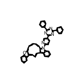 C1=C\C=c2\oc3ccccc3\c2=C/C=C/c2c(n(-c3ccc(-c4nc(-c5ccccc5)nc(-c5ccccc5)n4)cn3)c3ccccc23)\C=C/1